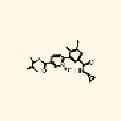 Cc1c(F)cc(C(=O)NC2CC2)cc1-c1ccc(C(=O)NC(C)C(C)C)c[n+]1[O-]